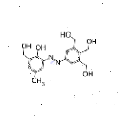 Cc1cc(CO)c(O)c(/N=N/c2cc(CO)c(CO)c(CO)c2)c1